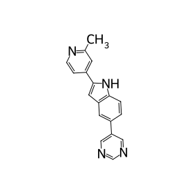 Cc1cc(-c2cc3cc(-c4cncnc4)ccc3[nH]2)ccn1